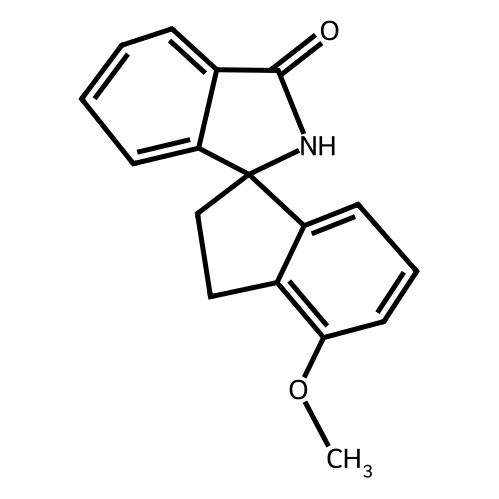 COc1cccc2c1CCC21NC(=O)c2ccccc21